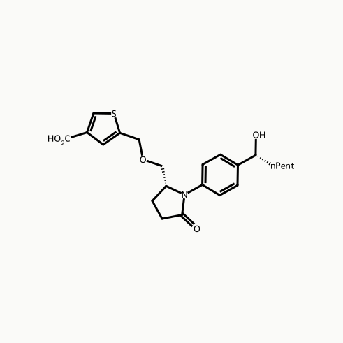 CCCCC[C@@H](O)c1ccc(N2C(=O)CC[C@@H]2COCc2cc(C(=O)O)cs2)cc1